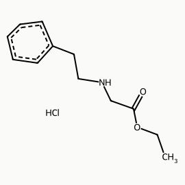 CCOC(=O)CNCCc1ccccc1.Cl